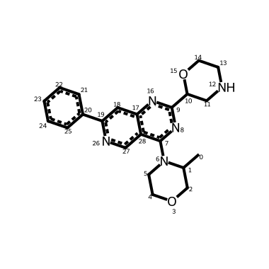 CC1COCCN1c1nc(C2CNCCO2)nc2cc(-c3ccccc3)ncc12